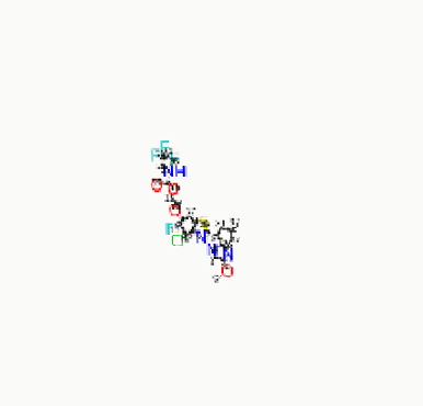 COc1cnc2c(-c3nc4c(Cl)c(F)c(OCCOC(=O)NCC(F)(F)F)cc4s3)cc(C)cc2n1